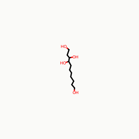 OCCCCCCCC(O)C(O)CCO